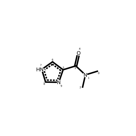 CN(C)C(=O)c1c[nH][c]n1